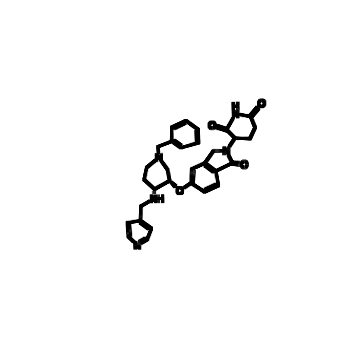 O=C1CCC(N2Cc3cc(O[C@@H]4CN(Cc5ccccc5)CC[C@H]4NCc4ccncc4)ccc3C2=O)C(=O)N1